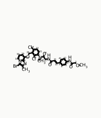 COCC(=O)Nc1ccc(/C=C/C(=O)NCC(=O)N(C)c2ccc(Cl)c(COc3cccn4c(Br)c(C)nc34)c2Cl)cc1